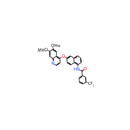 COc1cc2nccc(Oc3ccc4c(NC(=O)c5cccc(C(F)(F)F)c5)cccc4c3)c2cc1OC